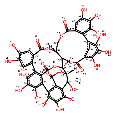 C[C@]1(O)c2c(O)c(O)c(O)c3c2C(=O)O[C@@H]1[C@H]1OC(=O)c2c(c(O)c(O)c(O)c2-3)-c2c(cc(O)c(O)c2O)C(=O)O[C@@H]2COC(=O)c3cc(O)c(O)c(O)c3-c3cc(c(O)c(O)c3O)C(=O)O[C@@H]12